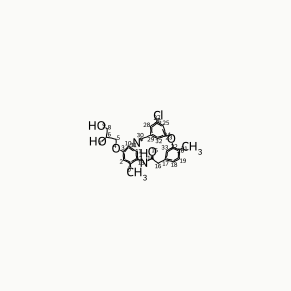 Cc1cc(OC[C@@H](O)CO)ccc1NC(=O)Cc1ccc(C)c(Oc2cc(Cl)cc(C#N)c2)c1